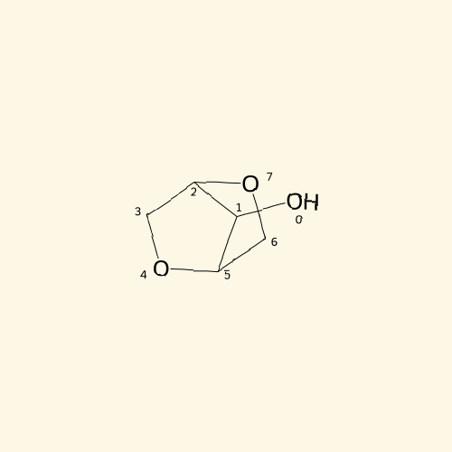 OC1C2COC1CO2